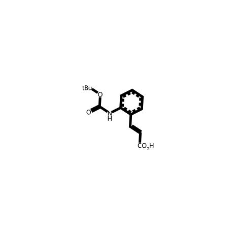 CC(C)(C)OC(=O)Nc1ccccc1C=CC(=O)O